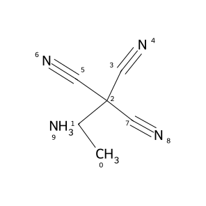 CCC(C#N)(C#N)C#N.N